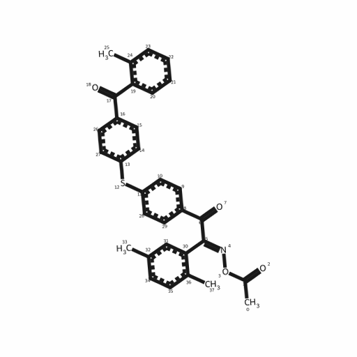 CC(=O)O/N=C(/C(=O)c1ccc(Sc2ccc(C(=O)c3ccccc3C)cc2)cc1)c1cc(C)ccc1C